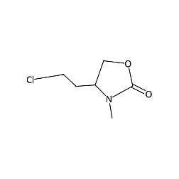 CN1C(=O)OCC1CCCl